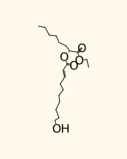 CCCCCCC(OC(=O)C=CCCCCCCCO)C(=O)OCC